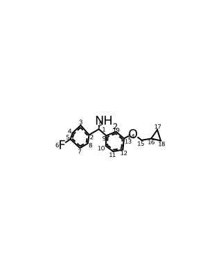 N[C@H](c1ccc(F)cc1)c1cccc(OCC2CC2)c1